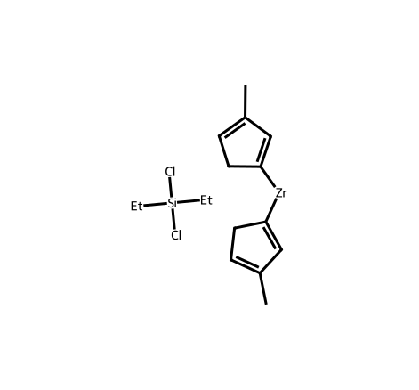 CC1=CC[C]([Zr][C]2=CC(C)=CC2)=C1.CC[Si](Cl)(Cl)CC